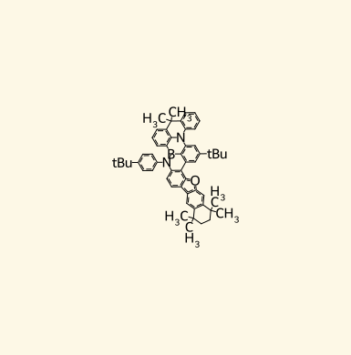 CC(C)(C)c1ccc(N2B3c4cccc5c4N(c4ccccc4C5(C)C)c4cc(C(C)(C)C)cc(c43)-c3c2ccc2c3oc3cc4c(cc32)C(C)(C)CCC4(C)C)cc1